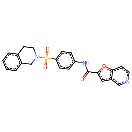 O=C(Nc1ccc(S(=O)(=O)N2CCc3ccccc3C2)cc1)c1cc2cnccc2o1